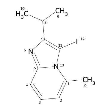 Cc1cccc2nc(C(C)C)c(I)n12